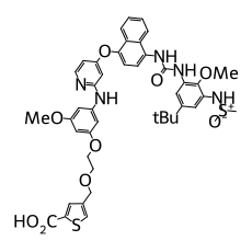 COc1cc(Nc2cc(Oc3ccc(NC(=O)Nc4cc(C(C)(C)C)cc(N[S+](C)[O-])c4OC)c4ccccc34)ccn2)cc(OCCOCc2csc(C(=O)O)c2)c1